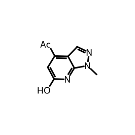 CC(=O)c1cc(O)nc2c1cnn2C